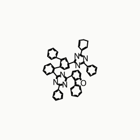 C1=CC(c2nc(-c3ccccc3)nc(-c3ccc(-c4ccccc4-c4nc(-c5ccccc5)nc(-c5cccc6oc7ccccc7c56)n4)c(-c4ccccc4)c3)n2)=CCC1